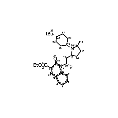 CCOC(=O)c1nc2ccccc2n([C@@H](C)C[C@@H]2CC[C@H](C)N2[C@H]2CC[C@@H](C(C)(C)C)CC2)c1=O